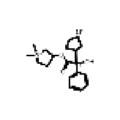 C[N+]1(C)CCC(OC(=O)[C@@](O)(c2ccccc2)C2CCCC2)C1.[Cl-]